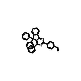 C=Cc1ccc(-c2nc(-c3ccccc3)c3c(n2)-c2ccccc2C3(c2ccccc2)c2ccccc2)cc1